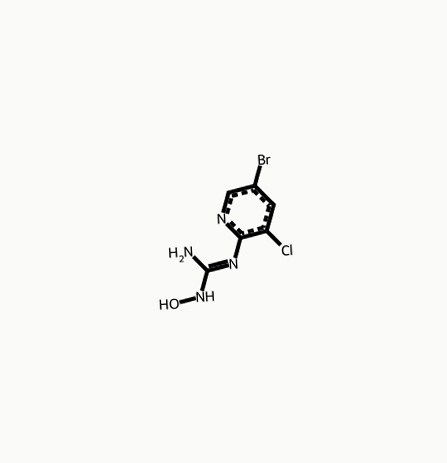 N/C(=N\c1ncc(Br)cc1Cl)NO